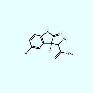 CNC(=O)C(C)C1(O)C(=O)Nc2ccc(Br)cc21